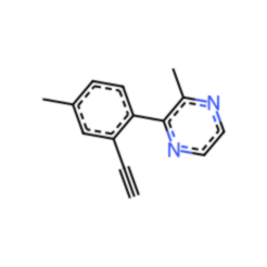 C#Cc1cc(C)ccc1-c1nccnc1C